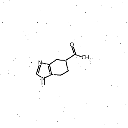 CC(=O)C1CCc2[nH]cnc2C1